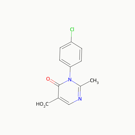 Cc1ncc(C(=O)O)c(=O)n1-c1ccc(Cl)cc1